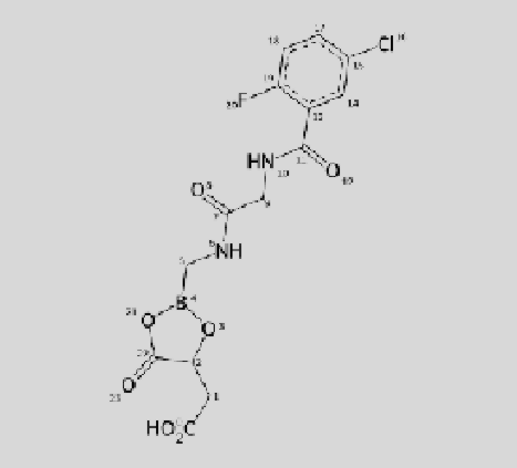 O=C(O)CC1OB(CNC(=O)CNC(=O)c2cc(Cl)ccc2F)OC1=O